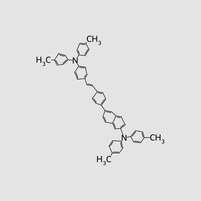 Cc1ccc(N(c2ccc(C)cc2)c2ccc(/C=C/c3ccc(-c4ccc5cc(N(c6ccc(C)cc6)c6ccc(C)cc6)ccc5c4)cc3)cc2)cc1